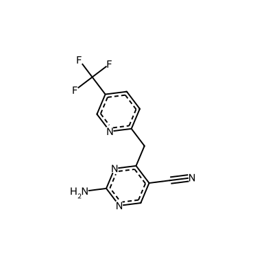 N#Cc1cnc(N)nc1Cc1ccc(C(F)(F)F)cn1